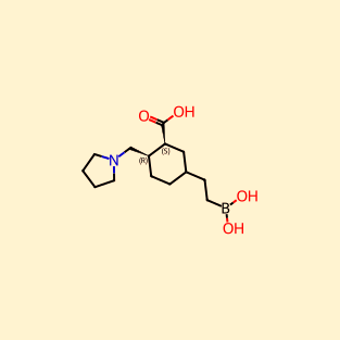 O=C(O)[C@H]1CC(CCB(O)O)CC[C@H]1CN1CCCC1